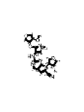 CO[C@@H]1COC[C@H]1Oc1nn(C)cc1Nc1ncc2cc(C#N)n([C@H]3COC[C@@H]3C)c2n1